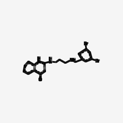 O=c1cc(NCCCNCc2cc(Br)cc(Br)c2)[nH]c2ccccc12